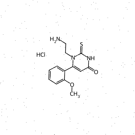 COc1ccccc1-c1cc(=O)[nH]c(=S)n1CCN.Cl